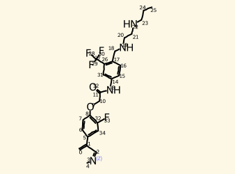 C=C(/C=N\C)c1ccc(OCC(=O)Nc2ccc(CNCCNCCC)c(C(F)(F)F)c2)c(F)c1